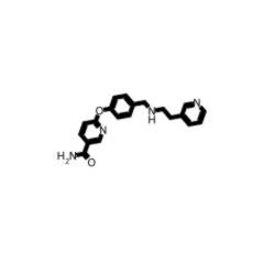 NC(=O)c1ccc(Oc2ccc(CNCCc3cccnc3)cc2)nc1